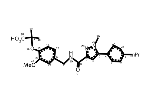 CCCc1ccc(-c2cc(C(=O)NCc3ccc(OC(C)(C)C(=O)O)c(OC)c3)nn2C)cc1